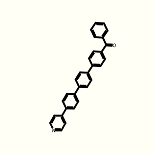 O=C(c1ccccc1)c1ccc(-c2ccc(-c3ccc(-c4ccncc4)cc3)cc2)cc1